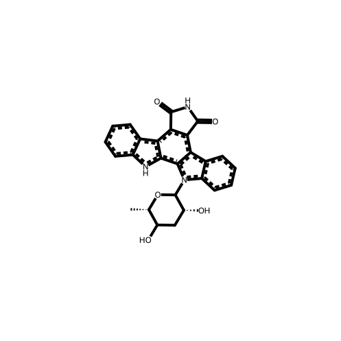 C[C@@H]1OC(n2c3ccccc3c3c4c(c5c6ccccc6[nH]c5c32)C(=O)NC4=O)[C@H](O)CC1O